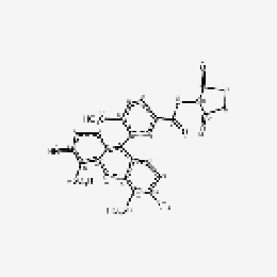 N=c1ccc2c(-c3cc(C(=O)ON4C(=O)CCC4=O)ccc3C(=O)O)c3ccc(N)c(S(=O)(=O)O)c3oc-2c1S(=O)(=O)O